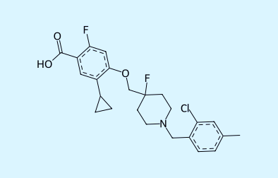 Cc1ccc(CN2CCC(F)(COc3cc(F)c(C(=O)O)cc3C3CC3)CC2)c(Cl)c1